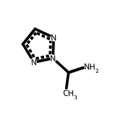 CC(N)n1nccn1